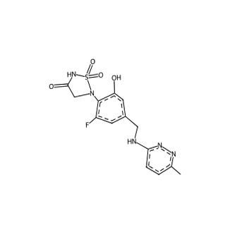 Cc1ccc(NCc2cc(O)c(N3CC(=O)NS3(=O)=O)c(F)c2)nn1